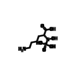 NCCCCC(C(=O)O)N(O)P(=O)(O)O